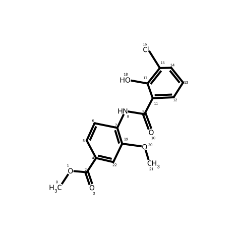 COC(=O)c1ccc(NC(=O)c2cccc(Cl)c2O)c(OC)c1